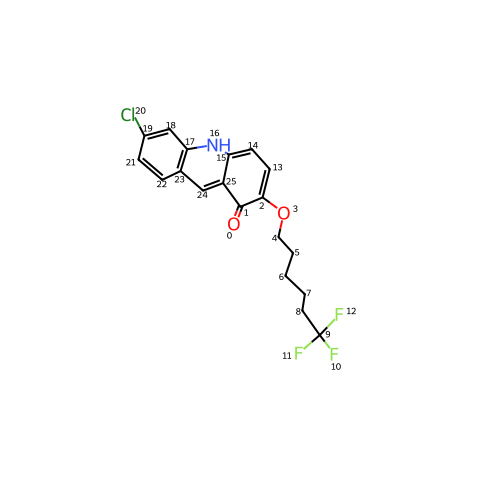 O=c1c(OCCCCCC(F)(F)F)ccc2[nH]c3cc(Cl)ccc3cc1-2